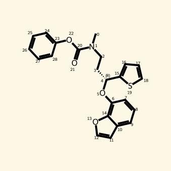 CN(CC[C@@H](Oc1cccc2ccoc12)c1cccs1)C(=O)Oc1ccccc1